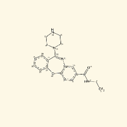 CCNC(=O)c1ccc2c(c1)N=C(N1CCNCC1)c1ccccc1O2